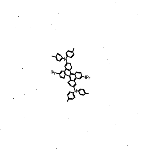 Cc1ccc(N(C2=Cc3c(c4c5ccc(C(C)C)cc5c5cc(N(c6ccc(C)cc6)c6ccc(C)cc6)ccc5c4c4ccc(C(C)C)cc34)CC2)c2ccc(C)cc2)cc1